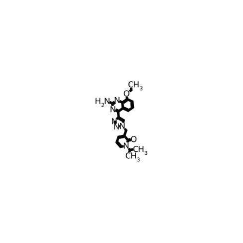 CCOc1cccc2c(-c3cn(Cc4cccn(C(C)C)c4=O)nn3)nc(N)nc12